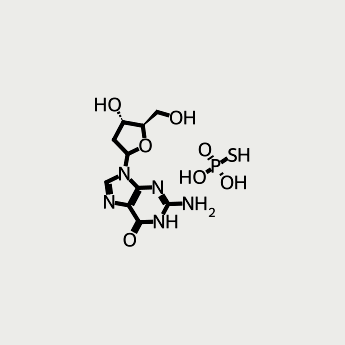 Nc1nc2c(ncn2C2C[C@H](O)[C@@H](CO)O2)c(=O)[nH]1.O=P(O)(O)S